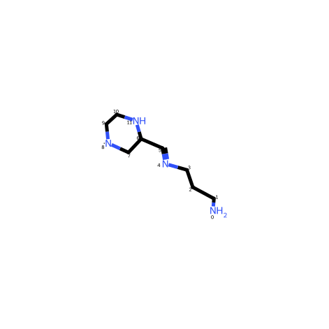 NCCCN=CC1C[N]CCN1